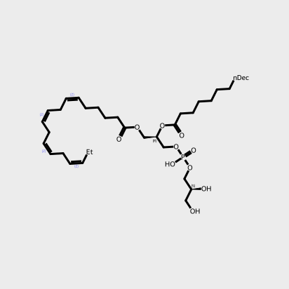 CC/C=C\C/C=C\C/C=C\C/C=C\CCCCC(=O)OC[C@H](COP(=O)(O)OC[C@@H](O)CO)OC(=O)CCCCCCCCCCCCCCCC